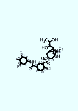 CC(O)C(O)C[C@@]1(O)C2C[C@@H](S(=O)(=O)c3cc(C(=O)Nc4cc(F)c(F)c(F)c4)ccc3Cl)C[C@@H]1[C@@H](C)C2